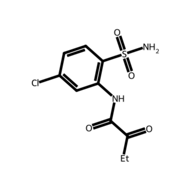 CCC(=O)C(=O)Nc1cc(Cl)ccc1S(N)(=O)=O